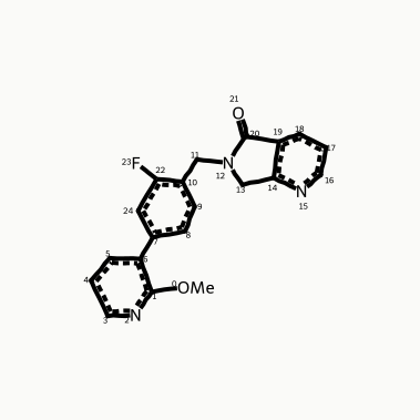 COc1ncccc1-c1ccc(CN2Cc3ncccc3C2=O)c(F)c1